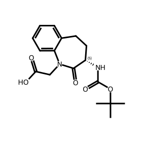 CC(C)(C)OC(=O)N[C@H]1CCc2ccccc2N(CC(=O)O)C1=O